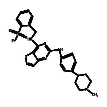 CC(C)S(=O)(=O)c1ccccc1CNc1nc(Nc2ccc(N3CCN(C)CC3)cc2)nc2ccsc12